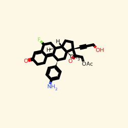 CC(=O)OCC(=O)[C@@]1(C#CCO)CC[C@H]2[C@@H]3CC(F)C4=CC(=O)CCC4=C3[C@@H](c3ccc(N)cc3)C[C@@]21C